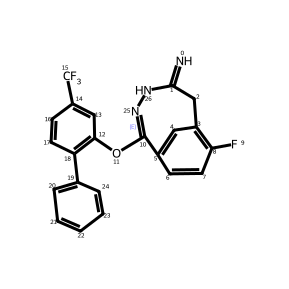 N=C1Cc2cc(ccc2F)/C(Oc2cc(C(F)(F)F)ccc2-c2ccccc2)=N\N1